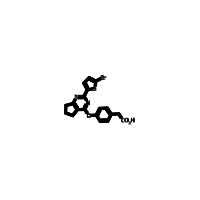 O=C(O)Cc1ccc(Oc2nc(-c3ccc(Br)s3)nc3c2CCC3)cc1